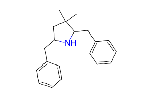 CC1(C)CC(Cc2ccccc2)NC1Cc1ccccc1